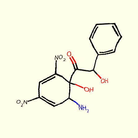 NC1C=C([N+](=O)[O-])C=C([N+](=O)[O-])C1(O)C(=O)C(O)c1ccccc1